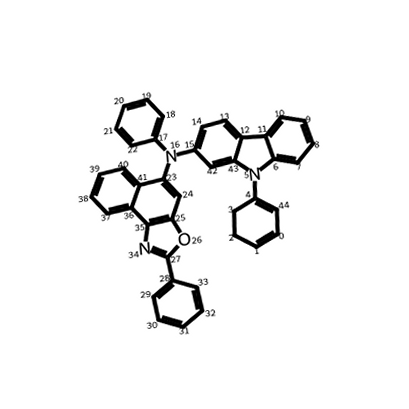 C1=CCCC(n2c3ccccc3c3ccc(N(c4ccccc4)c4cc5oc(-c6ccccc6)nc5c5ccccc45)cc32)=C1